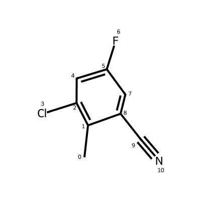 Cc1c(Cl)cc(F)cc1C#N